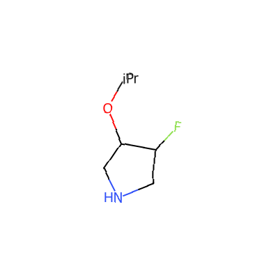 CC(C)OC1CNCC1F